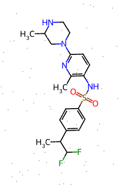 Cc1nc(N2CCNC(C)C2)ccc1NS(=O)(=O)c1ccc(C(C)C(F)F)cc1